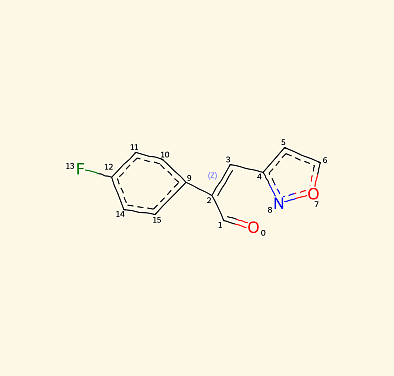 O=C/C(=C\c1ccon1)c1ccc(F)cc1